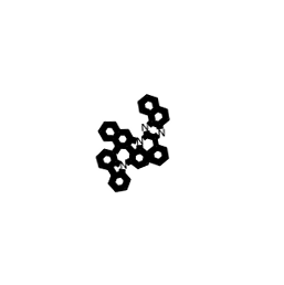 c1ccc(-c2nc3ccc4ccccc4c3nc2-n2c3cc4ccccc4c4c5cccc6c7ccccc7n(c7cccc2c7c43)c65)cc1